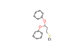 CCSCCC(Oc1ccccc1)Oc1ccccc1